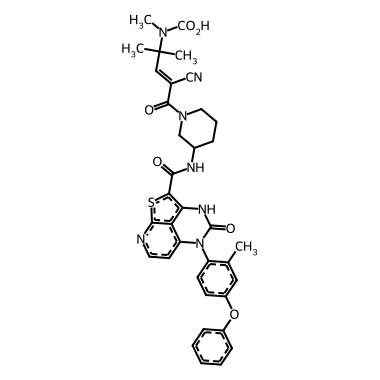 Cc1cc(Oc2ccccc2)ccc1N1C(=O)Nc2c(C(=O)NC3CCCN(C(=O)/C(C#N)=C/C(C)(C)N(C)C(=O)O)C3)sc3nccc1c23